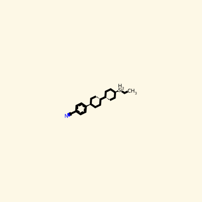 CC[SiH2][C@H]1CC[C@H]([C@H]2CC[C@H](c3ccc(C#N)cc3)CC2)CC1